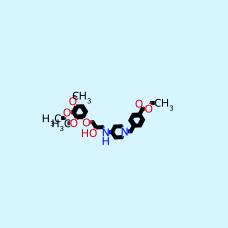 CCOC(=O)c1ccc(CN2CCC(NCC(O)COc3ccc(OC)c(OCC)c3OC)CC2)cc1